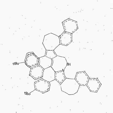 CC(C)(C)c1ccc(C2=C3CCCc4c(ccc5ccccc45)C3=C3CBn4c(c(-c5ccc(C(C)(C)C)cc5)c5c4-c4ccc6ccccc6c4CCC5)C(c4cccc5ccccc45)=C32)cc1